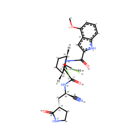 COc1cccc2[nH]c(C(=O)N3[C@H]4CC[C@@H]([C@@H]3C(=O)N[C@@H](C#N)C[C@@H]3CCNC3=O)C(F)(F)C4)cc12